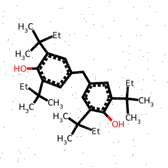 CCC(C)(C)c1cc(Cc2cc(C(C)(C)CC)c(O)c(C(C)(C)CC)c2)cc(C(C)(C)CC)c1O